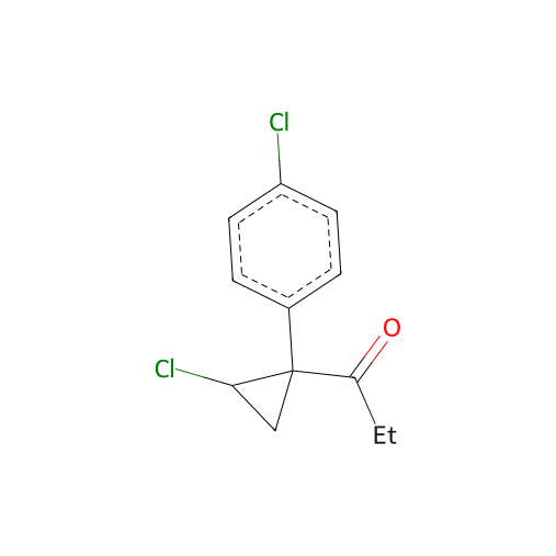 CCC(=O)C1(c2ccc(Cl)cc2)CC1Cl